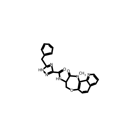 CN1C(=O)C(NC(=O)c2n[nH]c(Cc3ccccc3)n2)COc2ccc3cccnc3c21